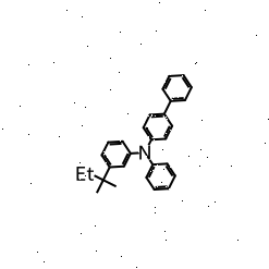 CCC(C)(C)c1cccc(N(c2ccccc2)c2ccc(-c3ccccc3)cc2)c1